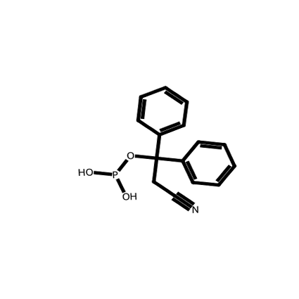 N#CCC(OP(O)O)(c1ccccc1)c1ccccc1